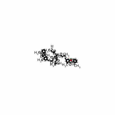 CCOP(=O)(C(=O)c1c(C)cc(CSC(C)CC(=O)OCC(COC(=O)CC(C)S)(COC(=O)CC(C)S)COC(=O)CC(C)SCc2cc(C)c(C(=O)P(=O)(OCC)c3ccccc3)c(C)c2)cc1C)c1ccccc1